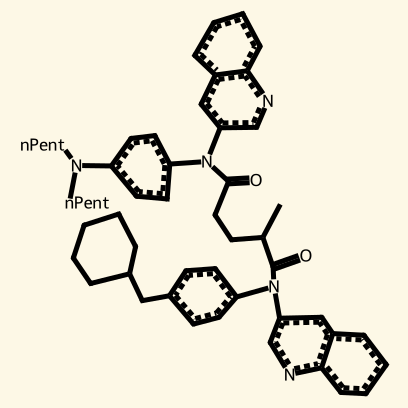 CCCCCN(CCCCC)c1ccc(N(C(=O)CCC(C)C(=O)N(c2ccc(CC3CCCCC3)cc2)c2cnc3ccccc3c2)c2cnc3ccccc3c2)cc1